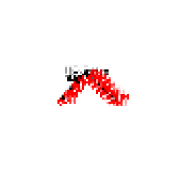 CCCCCCCCCCCCC(CCCCCC)C(=O)O.OCC(O)CO.OCC(O)CO.OCC(O)CO.OCC(O)CO.OCC(O)CO.OCC(O)CO.OCC(O)CO.OCC(O)CO.OCC(O)CO.OCC(O)CO